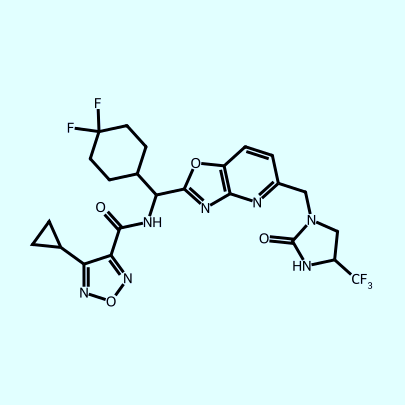 O=C(NC(c1nc2nc(CN3CC(C(F)(F)F)NC3=O)ccc2o1)C1CCC(F)(F)CC1)c1nonc1C1CC1